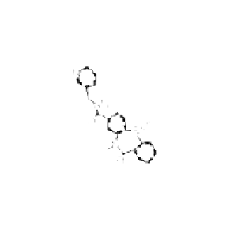 CN1C(=O)c2ccccc2[S@+]([O-])c2ccc(C(=O)NCc3cccnc3)cc21